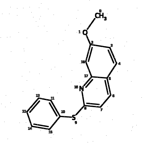 COc1ccc2ccc(Sc3ccccc3)nc2c1